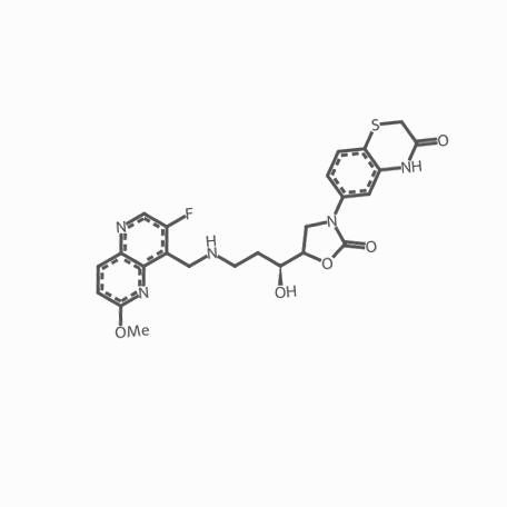 COc1ccc2ncc(F)c(CNCC[C@H](O)C3CN(c4ccc5c(c4)NC(=O)CS5)C(=O)O3)c2n1